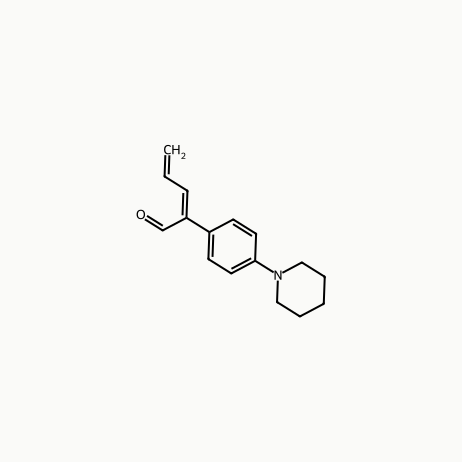 C=CC=C(C=O)c1ccc(N2CCCCC2)cc1